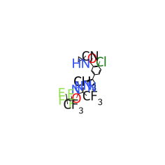 Cn1nc(OC(F)(F)C(F)(CF)C(F)(F)F)c(C(F)(F)F)c1-n1cc(-c2ccc(Cl)c(C(=O)NC3(C#N)CC3)c2)cn1